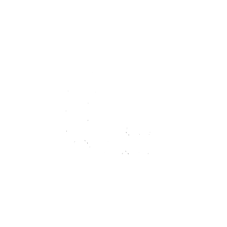 [O-][S+](Cc1cc(Oc2ccc(Cl)cc2)ccn1)c1nc2cscc2[nH]1